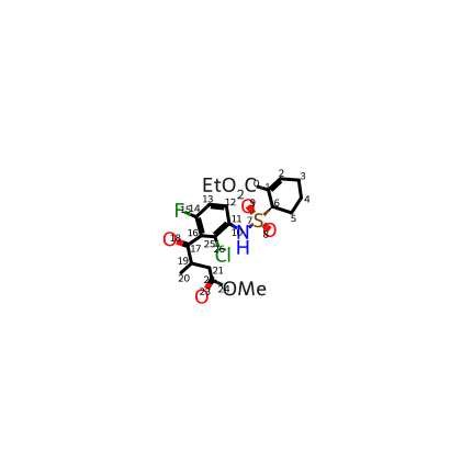 CCOC(=O)C1=CCCC[C@H]1S(=O)(=O)Nc1ccc(F)c(C(=O)C(C)CC(=O)OC)c1Cl